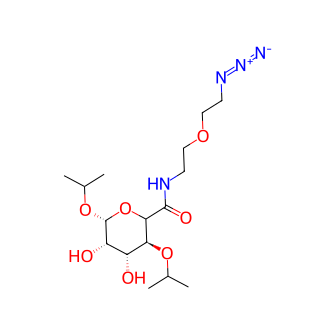 CC(C)O[C@@H]1OC(C(=O)NCCOCCN=[N+]=[N-])[C@@H](OC(C)C)[C@H](O)[C@@H]1O